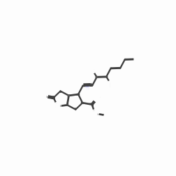 CCCCC(F)C(O)/C=C/C1C(C(=O)OC)CC2OC(=O)CC21